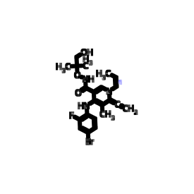 C=C=C1C(C)=C(Nc2ccc(Br)cc2F)C(C(=O)NOC(C)(C)CO)=CN1/C=C\C